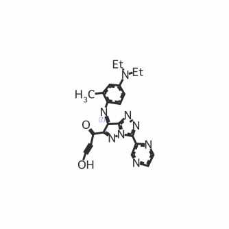 CCN(CC)c1ccc(/N=C2/C(C(=O)C#CO)=Nn3c2nnc3-c2cnccn2)c(C)c1